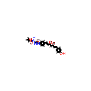 CC(C)(C)OC(=O)NCC(=O)Nc1ccc(C=CC(=O)CC(=O)C=Cc2ccc(O)cc2)cc1